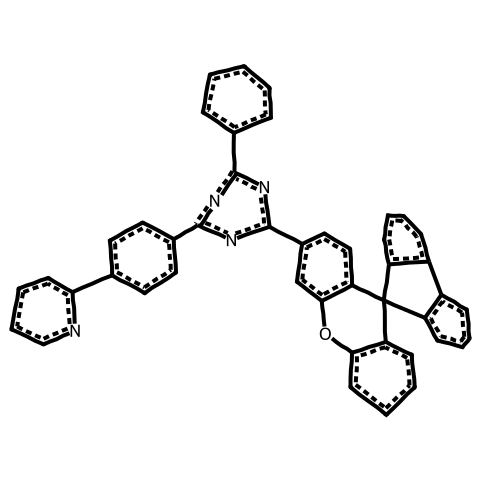 c1ccc(-c2nc(-c3ccc(-c4ccccn4)cc3)nc(-c3ccc4c(c3)Oc3ccccc3C43c4ccccc4-c4ccccc43)n2)cc1